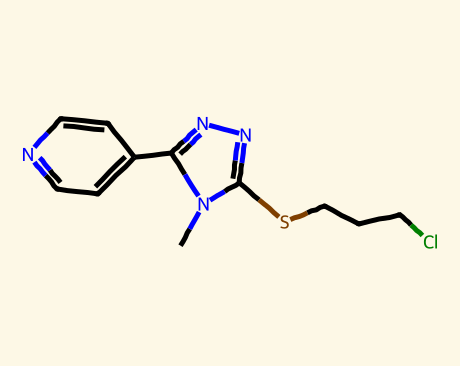 Cn1c(SCCCCl)nnc1-c1ccncc1